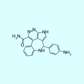 NC(=O)c1nnc2[nH]cc3c2c1-c1ccccc1NC3c1ccc(N)cc1